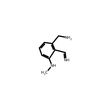 CNc1cccc(CN)c1C=N